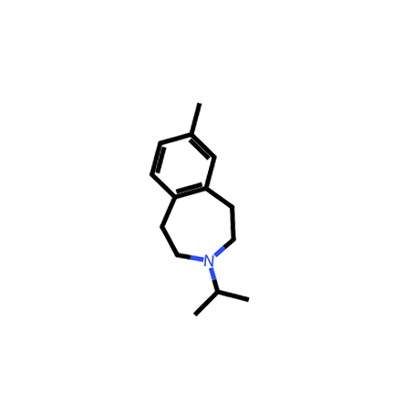 Cc1ccc2c(c1)CCN(C(C)C)CC2